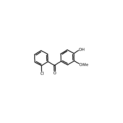 COc1cc(C(=O)c2ccccc2Cl)ccc1O